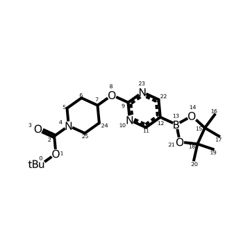 CC(C)(C)OC(=O)N1CCC(Oc2ncc(B3OC(C)(C)C(C)(C)O3)cn2)CC1